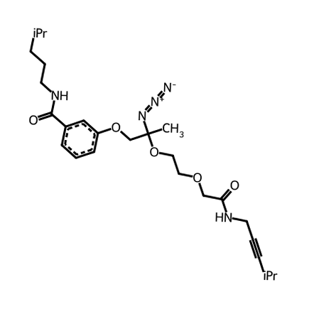 CC(C)C#CCNC(=O)COCCOC(C)(COc1cccc(C(=O)NCCCC(C)C)c1)N=[N+]=[N-]